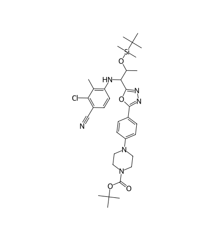 Cc1c(NC(c2nnc(-c3ccc(N4CCN(C(=O)OC(C)(C)C)CC4)cc3)o2)C(C)O[Si](C)(C)C(C)(C)C)ccc(C#N)c1Cl